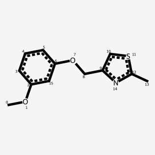 COc1cccc(OCc2csc(C)n2)c1